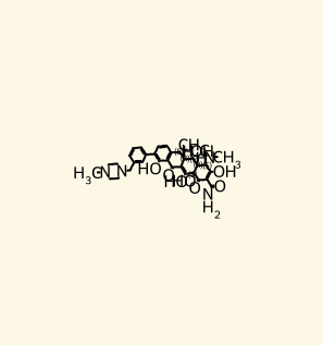 C[C@@H]1c2ccc(-c3cccc(CN4CCN(C)CC4)c3)c(O)c2C(=O)C2=C(O)[C@]3(O)C(=O)C(C(N)=O)=C(O)[C@@H](N(C)C)[C@@H]3[C@@H](O)[C@@H]21